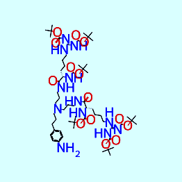 CC(C)(C)OC(=O)/N=C(\NCCCC[C@H](NC(=O)OC(C)(C)C)C(=O)NCCCN(CCCNC(=O)[C@H](CCCCN/C(=N\C(=O)OC(C)(C)C)NC(=O)OC(C)(C)C)NC(=O)OC(C)(C)C)CCCc1ccc(N)cc1)NC(=O)OC(C)(C)C